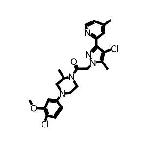 COc1cc(N2CCN(C(=O)Cn3nc(-c4cc(C)ccn4)c(Cl)c3C)C(C)C2)ccc1Cl